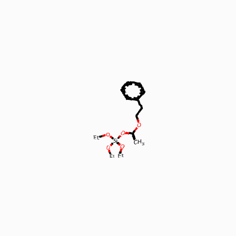 CCO[Si](OCC)(OCC)OC(C)OCCc1ccccc1